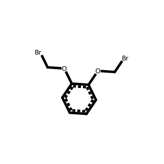 BrCOc1ccccc1OCBr